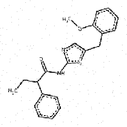 CCC(C(=O)Nc1ncc(Cc2ccccc2OC)s1)c1ccccc1